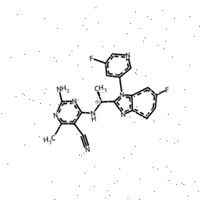 Cc1nc(N)nc(N[C@@H](C)c2nc3ccc(F)cc3n2-c2cncc(F)c2)c1C#N